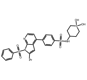 CC(C)c1cc2c(-c3ccc(S(=O)(=O)NC4CCS(O)(O)CC4)cc3)ccnc2n1S(=O)(=O)c1ccccc1